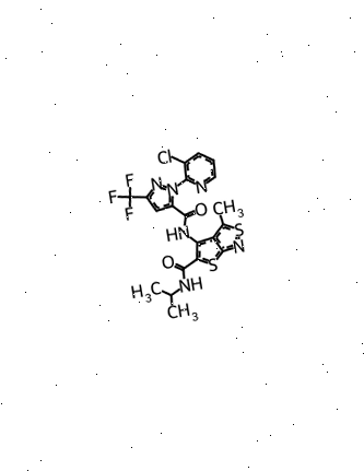 Cc1snc2sc(C(=O)NC(C)C)c(NC(=O)c3cc(C(F)(F)F)nn3-c3ncccc3Cl)c12